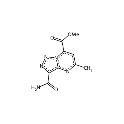 COC(=O)c1cc(C)nc2c(C(N)=O)nnn12